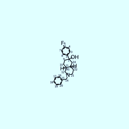 OC1(c2ccc(F)cc2)CC[C@H]2CN(Cc3ccccc3)CC[C@H]2C1